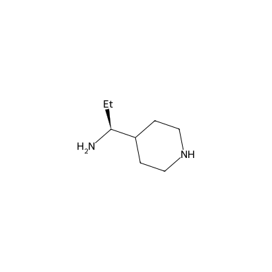 CC[C@H](N)C1CCNCC1